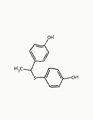 CC(Sc1ccc(O)cc1)c1ccc(O)cc1